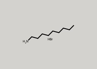 Br.CCCCCCCCCN